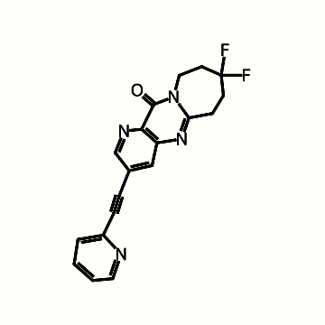 O=c1c2ncc(C#Cc3ccccn3)cc2nc2n1CCC(F)(F)CC2